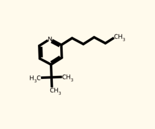 CCCCCc1cc(C(C)(C)C)ccn1